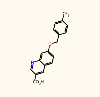 O=C(O)c1cnc2cc(OCc3ccc(C(F)(F)F)cc3)ccc2c1